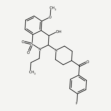 CCCN1C(N2CCC(C(=O)c3ccc(F)cc3)CC2)C(O)c2c(OC)cccc2S1(=O)=O